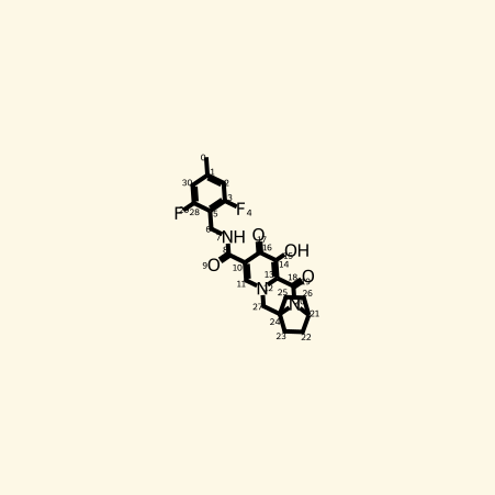 Cc1cc(F)c(CNC(=O)c2cn3c(c(O)c2=O)C(=O)N2C4CCC2(CC4)C3)c(F)c1